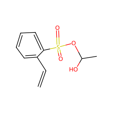 C=Cc1ccccc1S(=O)(=O)OC(C)O